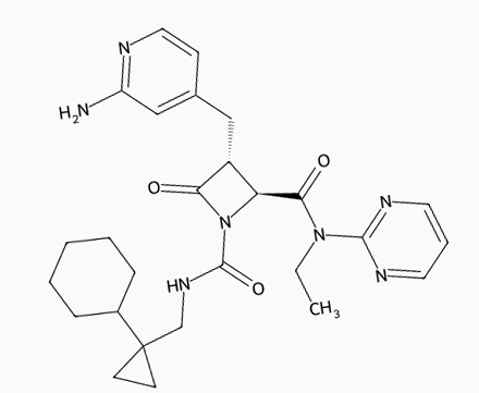 CCN(C(=O)[C@@H]1[C@@H](Cc2ccnc(N)c2)C(=O)N1C(=O)NCC1(C2CCCCC2)CC1)c1ncccn1